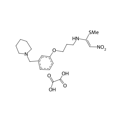 CSC(=C[N+](=O)[O-])NCCCOc1cccc(CN2CCCCC2)c1.O=C(O)C(=O)O